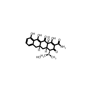 CN(C)[C@@H]1C(=O)C(C(N)=O)=C(O)[C@@]2(O)C(=O)C3=C(O)c4c(O)cccc4C[C@H]3C[C@@H]12.Cl